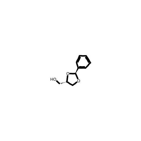 OC[C@H]1CO[C@H](c2ccccc2)O1